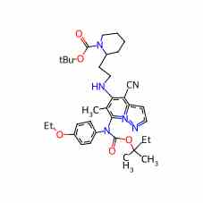 CCOc1ccc(N(C(=O)OC(C)(C)CC)c2c(C)c(NCCC3CCCCN3C(=O)OC(C)(C)C)c(C#N)c3ccnn23)cc1